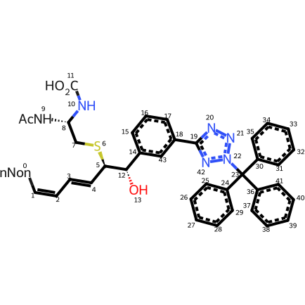 CCCCCCCCC/C=C\C=C\[C@@H](SC[C@H](NC(C)=O)NC(=O)O)[C@@H](O)c1cccc(-c2nnn(C(c3ccccc3)(c3ccccc3)c3ccccc3)n2)c1